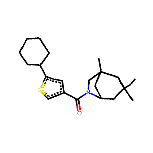 CC1(C)CC2CC(C)(CN2C(=O)c2csc(C3CCCCC3)c2)C1